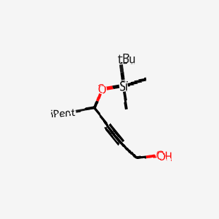 CCCC(C)C(C#CCO)O[Si](C)(C)C(C)(C)C